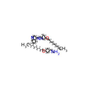 CCCCCCCCCCOc1ccc(CN)cc1.CCCCCCCCCCOc1ccc(CNc2ccnc3ccccc23)cc1